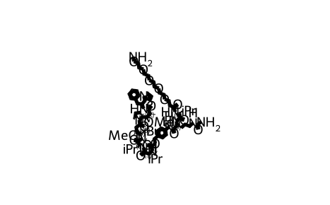 CC[C@H](C)[C@@H]([C@@H](CC(=O)N1CCC[C@H]1[C@H](OC)[C@@H](C)C(=O)NC(Cc1ccccc1)c1nccs1)OC)N(C)C(=O)[C@@H](NC(=O)[C@H](C(C)C)N(C)C(=O)OCc1ccc(NC(=O)[C@H](CCCNC(N)=O)NC(=O)[C@@H](NC(=O)CCOCCOCCOCCOCCON)C(C)C)cc1)C(C)C